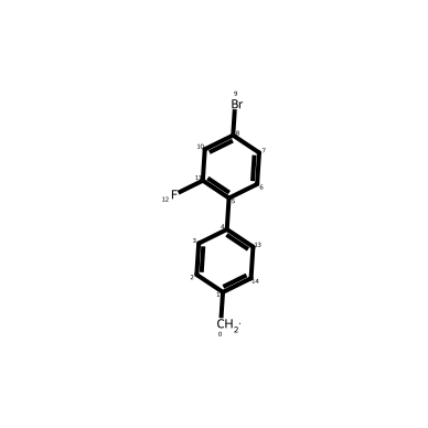 [CH2]c1ccc(-c2ccc(Br)cc2F)cc1